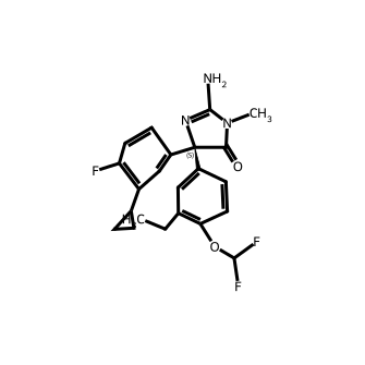 CCc1cc([C@@]2(c3ccc(F)c(C4CC4)c3)N=C(N)N(C)C2=O)ccc1OC(F)F